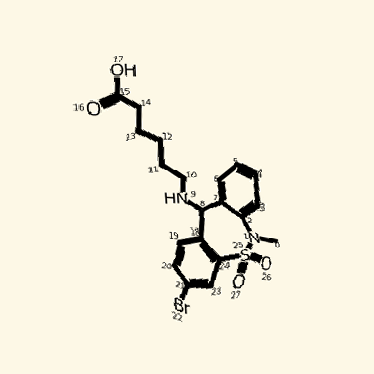 CN1c2ccccc2C(NCCCCCC(=O)O)c2ccc(Br)cc2S1(=O)=O